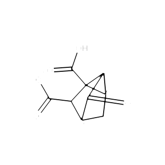 O=C(O)C1C2CC3C(C2=O)C31C(=O)O